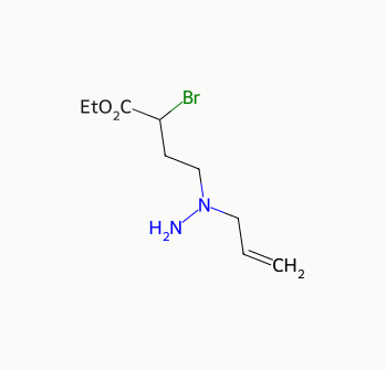 C=CCN(N)CCC(Br)C(=O)OCC